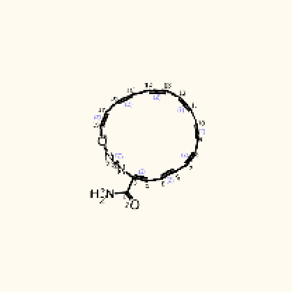 NC(=O)C1=C/C=C\C=C/C=C\C=C/C=C\C=C/C=C\O/N=N\1